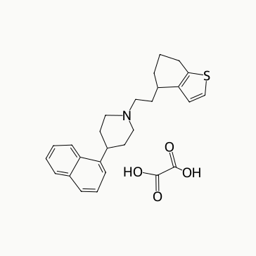 O=C(O)C(=O)O.c1ccc2c(C3CCN(CCC4CCCc5sccc54)CC3)cccc2c1